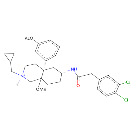 COC12CC[C@@H](NC(=O)Cc3ccc(Cl)c(Cl)c3)C[C@]1(c1cccc(OC(C)=O)c1)CC[N@+](C)(CC1CC1)C2